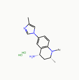 CC(=O)N1c2ccc(-n3cnc(C)c3)cc2[C@@H](N)C[C@H]1C.Cl.Cl